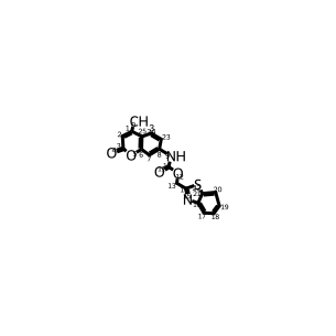 Cc1cc(=O)oc2cc(NC(=O)OCc3nc4ccccc4s3)ccc12